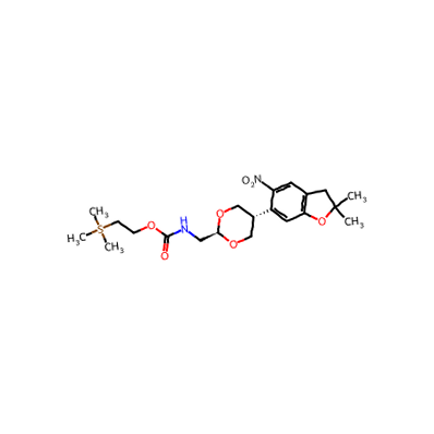 CC1(C)Cc2cc([N+](=O)[O-])c([C@H]3CO[C@H](CNC(=O)OCCS(C)(C)C)OC3)cc2O1